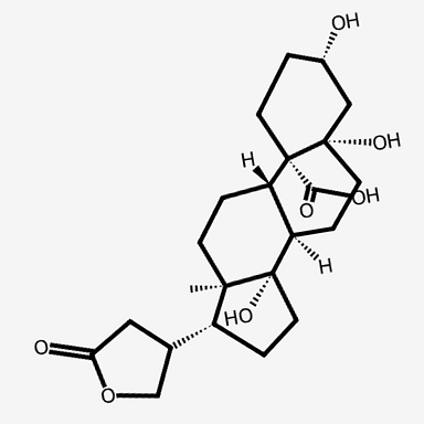 C[C@]12CC[C@H]3[C@@H](CC[C@]4(O)C[C@@H](O)CC[C@]34C(=O)O)[C@@]1(O)CC[C@@H]2C1COC(=O)C1